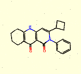 O=c1c2c([nH]c3cc(C4CCC4)n(-c4ccccc4)c(=O)c13)CCCC2